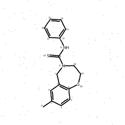 Cc1ccc2c(c1)CN(C(=S)Nc1ccccc1)CCS2